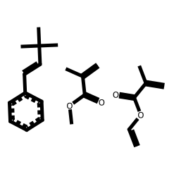 C=C(C)C(=O)OC.C=COC(=O)C(=C)C.CC(C)(C)C=Cc1ccccc1